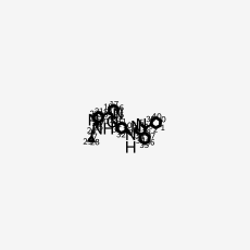 c1ccc(-c2nnc(Nc3ccc(Oc4ncccc4-c4ccnc(NCC5CC5)c4)cc3)c3ccccc23)cc1